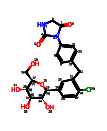 O=C1CNC(=O)N1c1ccc(Cc2cc([C@@H]3O[C@H](CO)[C@@H](O)[C@H](O)[C@H]3O)ccc2Cl)cc1